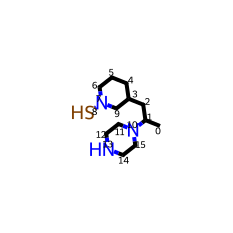 CC(CC1CCCN(S)C1)N1CCNCC1